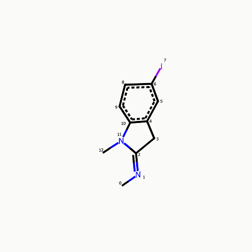 CN=C1Cc2cc(I)ccc2N1C